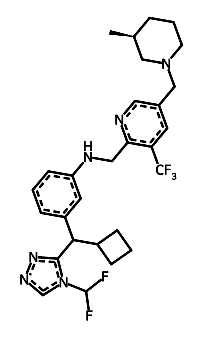 C[C@H]1CCCN(Cc2cnc(CNc3cccc(C(c4nncn4C(F)F)C4CCC4)c3)c(C(F)(F)F)c2)C1